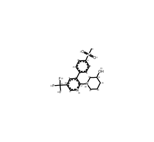 CS(=O)(=O)c1ccc(-c2cc(C(F)(F)F)cnc2N2CCCC(O)C2)cc1